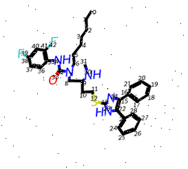 CCCCCCCN(CC(CCSc1nc(-c2ccccc2)c(-c2ccccc2)[nH]1)NC)C(=O)Nc1ccc(F)cc1F